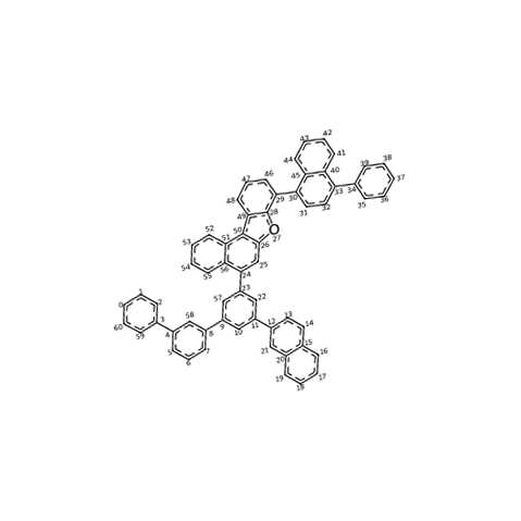 c1ccc(-c2cccc(-c3cc(-c4ccc5ccccc5c4)cc(-c4cc5oc6c(-c7ccc(-c8ccccc8)c8ccccc78)cccc6c5c5ccccc45)c3)c2)cc1